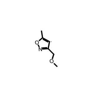 COCc1[c]c(C)on1